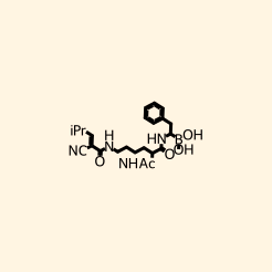 CC(=O)NC(CCCCNC(=O)C(C#N)=CC(C)C)C(=O)NC(Cc1ccccc1)B(O)O